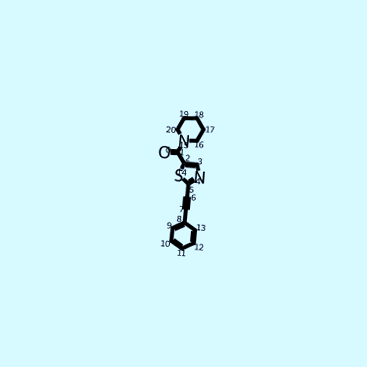 O=C(c1cnc(C#Cc2ccccc2)s1)N1CCCCC1